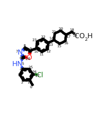 Cc1ccc(Nc2ncc(-c3ccc(C4CCC(CC(=O)O)CC4)cc3)o2)cc1Cl